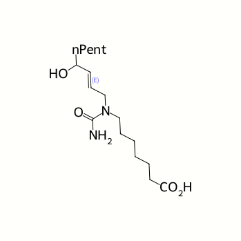 CCCCCC(O)/C=C/CN(CCCCCCC(=O)O)C(N)=O